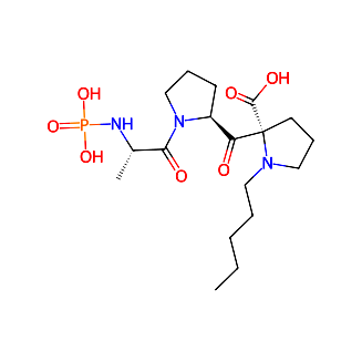 CCCCCN1CCC[C@]1(C(=O)O)C(=O)[C@@H]1CCCN1C(=O)[C@H](C)NP(=O)(O)O